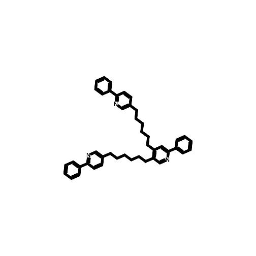 c1ccc(-c2ccc(CCCCCCc3cnc(-c4ccccc4)cc3CCCCCCc3ccc(-c4ccccc4)nc3)cn2)cc1